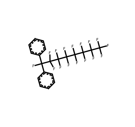 FC(F)(F)C(F)(F)C(F)(F)C(F)(F)C(F)(F)C(F)(F)C(F)(F)C(F)(c1cc[c]cc1)c1cc[c]cc1